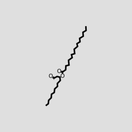 CCCCCCCCCCCCCCCCC(=O)OC(C[C]=O)CCCCCCCCCC